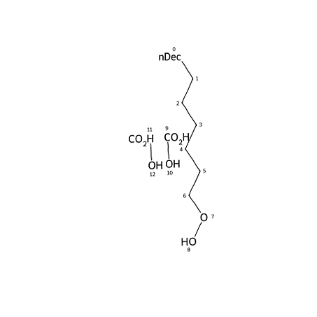 CCCCCCCCCCCCCCCCOO.O=C(O)O.O=C(O)O